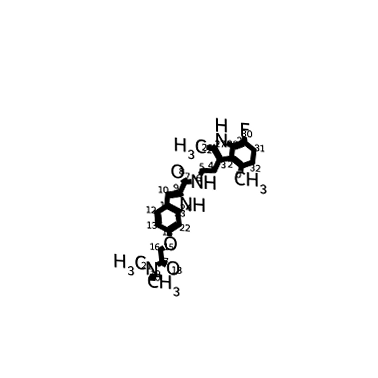 CC1=c2c(CCNC(=O)c3cc4ccc(OCC(=O)N(C)C)cc4[nH]3)c(C)[nH]c2=C(F)CC1